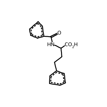 O=C(NC(CCc1ccccc1)C(=O)O)c1ccccc1